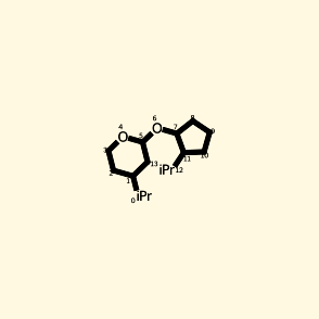 CC(C)C1CCOC(OC2CCCC2C(C)C)C1